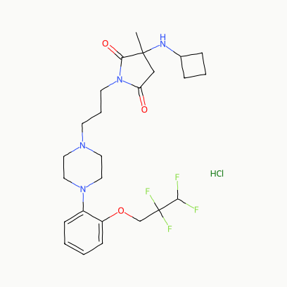 CC1(NC2CCC2)CC(=O)N(CCCN2CCN(c3ccccc3OCC(F)(F)C(F)F)CC2)C1=O.Cl